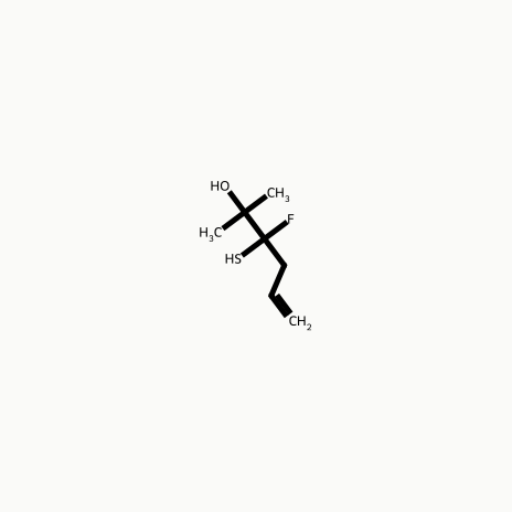 C=CCC(F)(S)C(C)(C)O